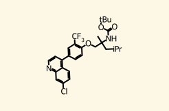 CC(C)CC(C)(COc1ccc(-c2ccnc3cc(Cl)ccc23)cc1C(F)(F)F)NC(=O)OC(C)(C)C